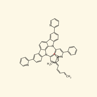 C=C/C=C\C=C(/C)c1cc(-n2c3ccc(-c4ccccn4)cc3c3ccc4c5cc(-c6ccccn6)ccc5n(-c5ccccc5)c4c32)cc(-c2ccccc2)n1